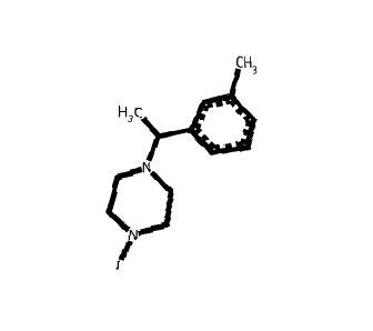 Cc1cccc(C(C)N2CCN(I)CC2)c1